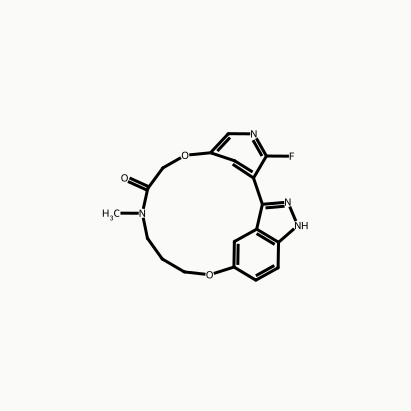 CN1CCCOc2ccc3[nH]nc(c3c2)-c2cc(cnc2F)OCC1=O